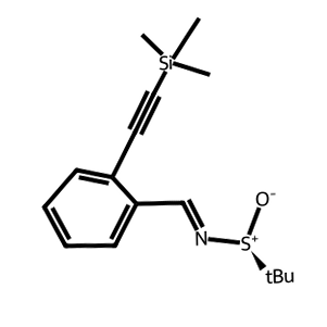 CC(C)(C)[S@+]([O-])/N=C/c1ccccc1C#C[Si](C)(C)C